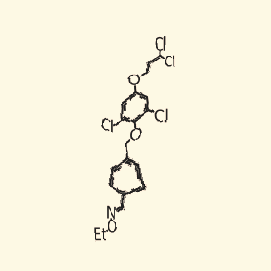 CCON=Cc1ccc(COc2c(Cl)cc(OCC=C(Cl)Cl)cc2Cl)cc1